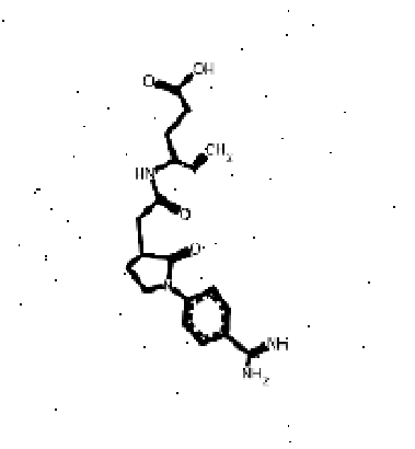 C=CC(CCC(=O)O)NC(=O)CC1CCN(c2ccc(C(=N)N)cc2)C1=O